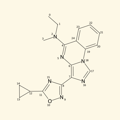 CCN(C)c1nc2c(-c3noc(C4CC4)n3)ncn2c2ccccc12